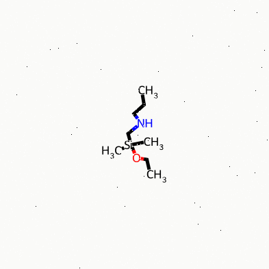 CCCNC[Si](C)(C)OCC